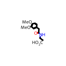 COc1ccc(CC(=O)NCCC(=O)O)cc1OC